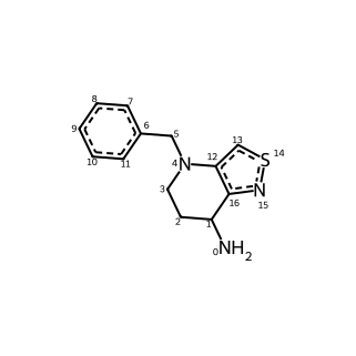 NC1CCN(Cc2ccccc2)c2csnc21